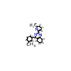 Cc1cccc(-c2nc(-c3cccc(C)n3)nc3c2CCCC3)c1